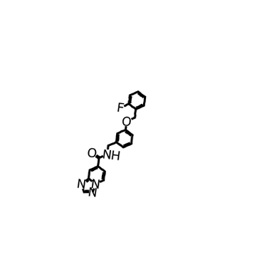 O=C(NCc1cccc(OCc2ccccc2F)c1)c1ccn2ncnc2c1